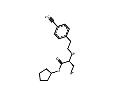 C#Cc1ccc(CCN[C@@H](CC(C)C)C(=O)OC2CCCC2)cc1